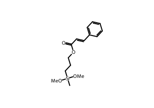 CO[Si](C)(CCCOC(=O)C=Cc1ccccc1)OC